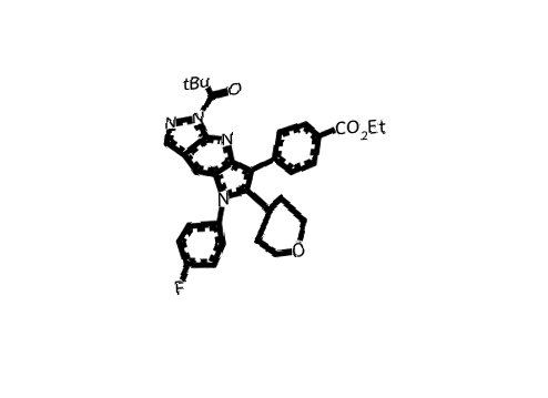 CCOC(=O)c1ccc(-c2c(C3CCOCC3)n(-c3ccc(F)cc3)c3cc4cnn(C(=O)C(C)(C)C)c4nc23)cc1